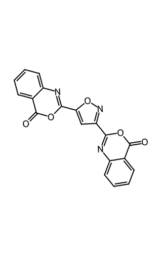 O=c1oc(-c2cc(-c3nc4ccccc4c(=O)o3)on2)nc2ccccc12